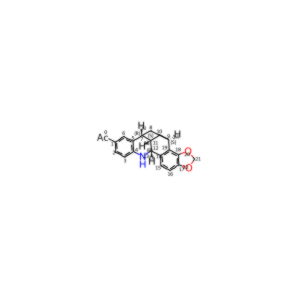 CC(=O)c1ccc2c(c1)[C@@H]1C[C@H]3C[C@@H]1[C@@H](N2)c1ccc2c(c13)OCO2